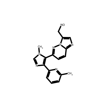 Cc1cccc(-c2ncn(C)c2-c2ccc3ncc(CN=O)n3n2)n1